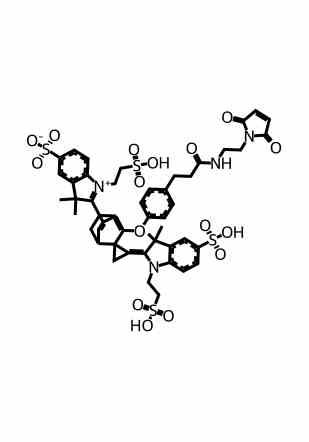 CC1(C)C(=C2CC23C(Oc2ccc(CCC(=O)NCCN4C(=O)C=CC4=O)cc2)=C2CCC3C=C2C2=[N+](CCS(=O)(=O)O)c3ccc(S(=O)(=O)[O-])cc3C2(C)C)N(CCS(=O)(=O)O)c2ccc(S(=O)(=O)O)cc21